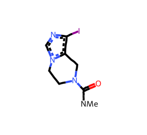 CNC(=O)N1CCn2cnc(I)c2C1